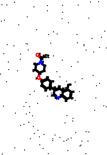 CCC(=O)N1CCC(Oc2ccc(-c3cnc4cccc(C)c4c3)cc2)CC1